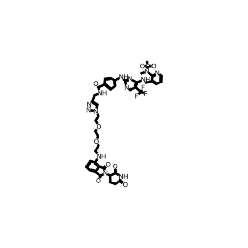 CN(c1ncccc1CNc1nc(Nc2ccc(C(=O)NCc3cn(CCOCCOCCNc4cccc5c4C(=O)N(C4CCC(=O)NC4=O)C5=O)nn3)cc2)ncc1C(F)(F)F)S(C)(=O)=O